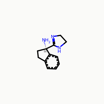 N[C@@]1(C2=NCCN2)CCc2ccccc21